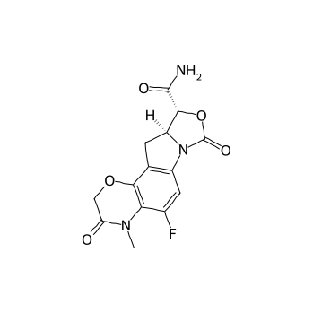 CN1C(=O)COc2c3c(cc(F)c21)N1C(=O)O[C@@H](C(N)=O)[C@@H]1C3